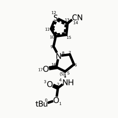 CC(C)(C)OC(=O)N[C@H]1CCN(Cc2csc(C#N)c2)C1=O